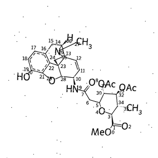 COC(=O)[C@H]1OC(CC(=O)N[C@@H]2C=CC3[C@H]4Cc5ccc(O)c6c5[C@@]3(CCN4C)C2O6)[C@H](OC(C)=O)[C@@H](OC(C)=O)[C@@H]1C